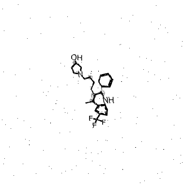 C[C@H](CC[C@@H]1[C@H](C)c2cc(C(F)(F)F)ccc2N[C@H]1C1C=CC=CC1)CN1CC[C@@H](O)C1